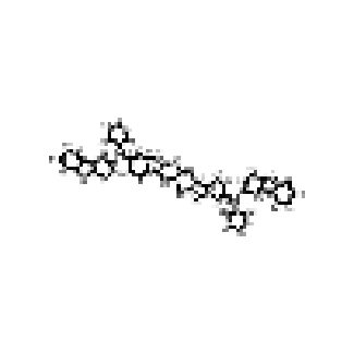 c1ccc(N(c2ccc3c(c2)sc2cc4cc5c(cc4cc23)sc2cc(N(c3ccccc3)c3ccc4sc6ccccc6c4c3)ccc25)c2ccc3sc4ccccc4c3c2)cc1